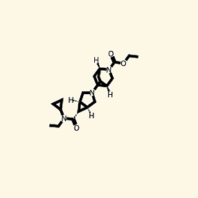 CCOC(=O)N1C[C@@H]2CC[C@H]1CC2N1C[C@@H]2[C@H](C1)[C@H]2C(=O)N(CC)C1CC1